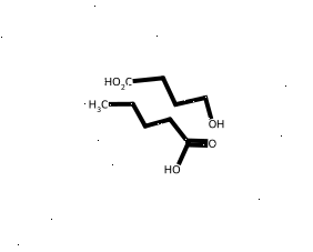 CCCCC(=O)O.O=C(O)CCCO